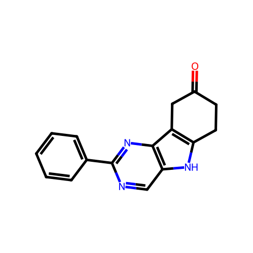 O=C1CCc2[nH]c3cnc(-c4ccccc4)nc3c2C1